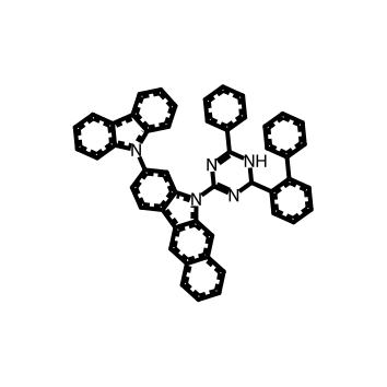 c1ccc(C2=NC(n3c4cc(-n5c6ccccc6c6ccccc65)ccc4c4cc5ccccc5cc43)=NC(c3ccccc3-c3ccccc3)N2)cc1